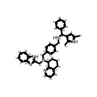 Cc1cc(C(NCc2ccc(CN(Cc3nc4ccccc4[nH]3)C3CCCc4cccnc43)cc2)c2ccccc2)c(C)[nH]1